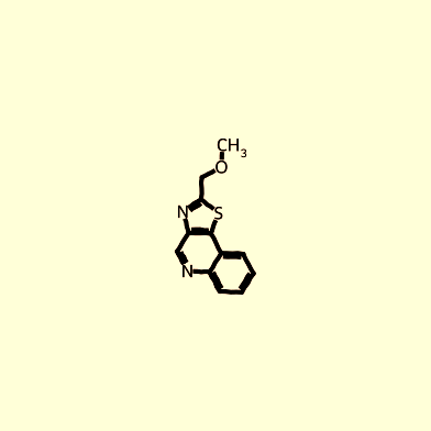 COCc1nc2cnc3ccccc3c2s1